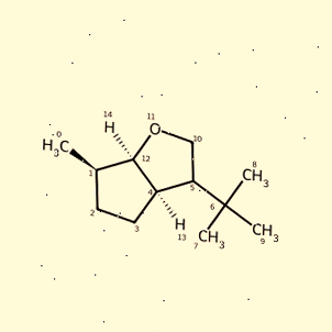 C[C@@H]1CC[C@@H]2C(C(C)(C)C)CO[C@H]12